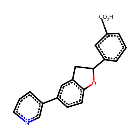 O=C(O)c1cccc(C2Cc3cc(-c4cccnc4)ccc3O2)c1